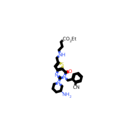 CCOC(=O)CCCNCc1cc2nc(N3CCC[C@@H](N)C3)n(Cc3ccccc3C#N)c(=O)c2s1